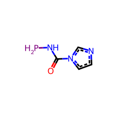 O=C(NP)n1ccnc1